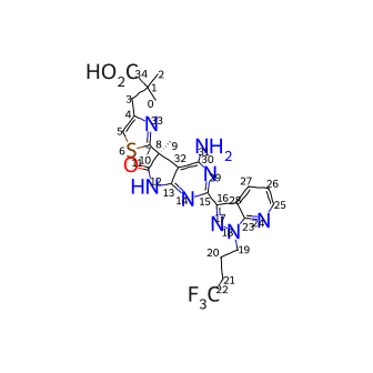 CC(C)(Cc1csc([C@]2(C)C(=O)Nc3nc(-c4nn(CCCC(F)(F)F)c5ncccc45)nc(N)c32)n1)C(=O)O